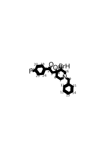 Br.O=C(CC1(O)CCN(Cc2ccccc2)CC1)c1ccc(F)cc1